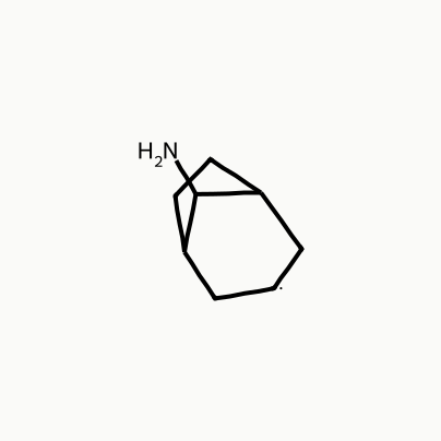 NC1C2C[CH]CC1CC2